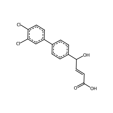 O=C(O)C=CC(O)c1ccc(-c2ccc(Cl)c(Cl)c2)cc1